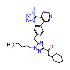 CCCCCn1nc(C(=O)CC2CCCCC2)nc1Cc1ccc(-c2cnccc2-c2nnn[nH]2)cc1